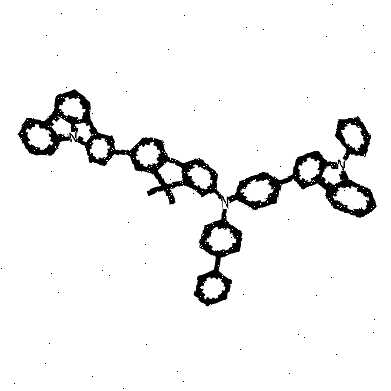 CC1(C)c2cc(-c3ccc4c(c3)c3cccc5c6ccccc6n4c53)ccc2-c2ccc(N(c3ccc(-c4ccccc4)cc3)c3ccc(-c4ccc5c(c4)c4ccccc4n5-c4ccccc4)cc3)cc21